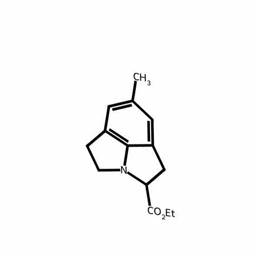 CCOC(=O)C1Cc2cc(C)cc3c2N1CC3